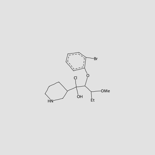 CCC(OC)C(Oc1ccccc1Br)C(O)(Cl)C1CCCNC1